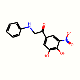 O=C(CNc1ccccc1)c1cc(O)c(O)c([N+](=O)[O-])c1